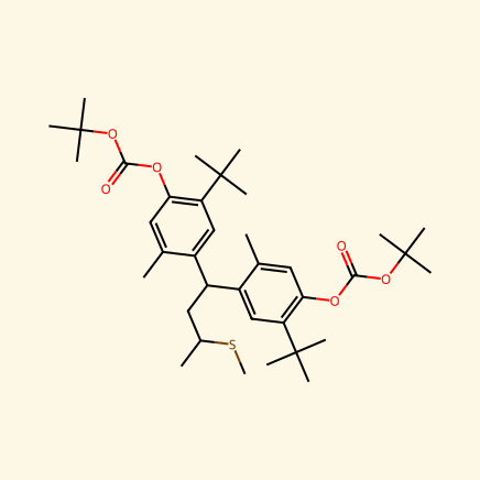 CSC(C)CC(c1cc(C(C)(C)C)c(OC(=O)OC(C)(C)C)cc1C)c1cc(C(C)(C)C)c(OC(=O)OC(C)(C)C)cc1C